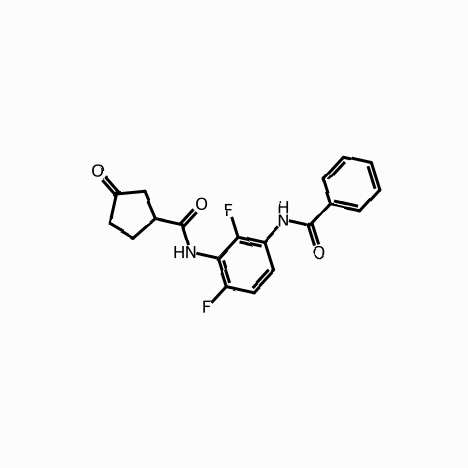 O=C1CCC(C(=O)Nc2c(F)ccc(NC(=O)c3ccccc3)c2F)C1